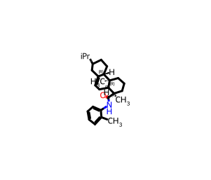 Cc1ccccc1NC(=O)[C@]1(C)CCC[C@@]2(C)[C@H]1CC=C1CC(C(C)C)CC[C@@H]12